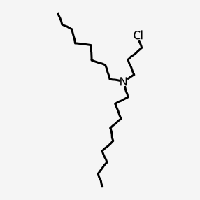 CCCCCCCCCN(CCCCl)CCCCCCCC